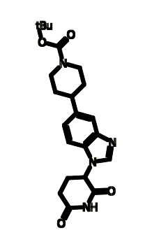 CC(C)(C)OC(=O)N1CCC(c2ccc3c(c2)ncn3C2CCC(=O)NC2=O)CC1